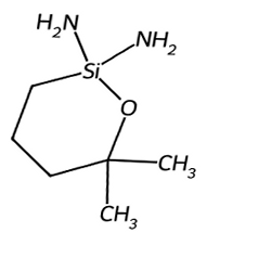 CC1(C)CCC[Si](N)(N)O1